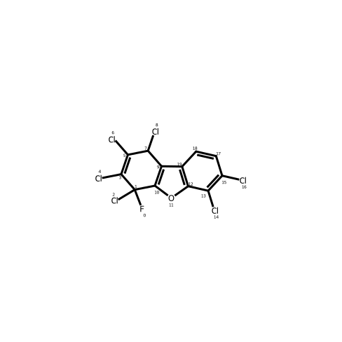 FC1(Cl)C(Cl)=C(Cl)C(Cl)c2c1oc1c(Cl)c(Cl)ccc21